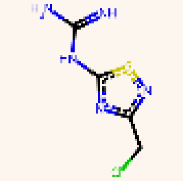 N=C(N)Nc1nc(CCl)ns1